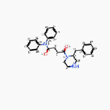 O=C(CCC(=O)N1CCNCC1Cc1ccccc1)N(c1ccccc1)c1ccccc1